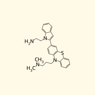 CN(C)CCCN1c2ccccc2Sc2cc(-c3cc4ccccc4n3CCN)ccc21